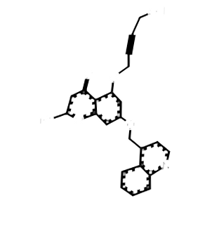 CC(C)c1cc(=O)c2c(OCC#CCO)cc(OCc3ccnc4ccccc34)cc2o1